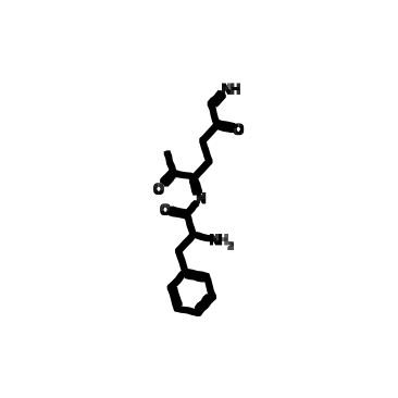 CC(=O)/C(CCC(=O)C=N)=N\C(=O)C(N)Cc1ccccc1